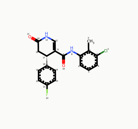 Cc1c(Cl)cccc1NC(=O)C1=CNC(=O)C[C@H]1c1ccc(F)cc1